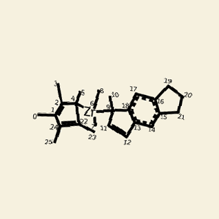 CC1=C(C)[C](C)([Zr]([CH3])([CH3])[C]2(C)C=Cc3cc4c(cc32)CCC4)C(C)=C1C